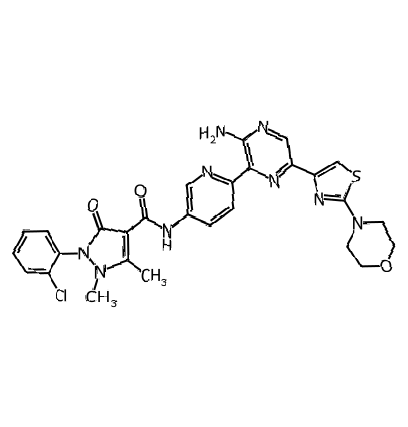 Cc1c(C(=O)Nc2ccc(-c3nc(-c4csc(N5CCOCC5)n4)cnc3N)nc2)c(=O)n(-c2ccccc2Cl)n1C